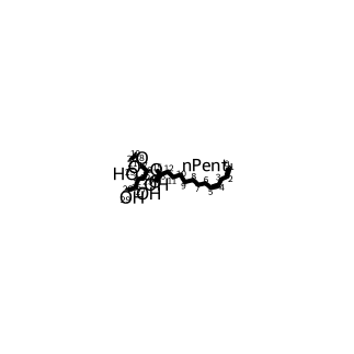 CCCCC/C=C\C/C=C\CCCCCCCC(=O)O[C@H](C1OCCO1)[C@@H](O)[C@H](O)[C@H](O)CO